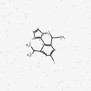 CC(C)c1cc(I)cc(C(C)C)c1-c1ncc[nH]1